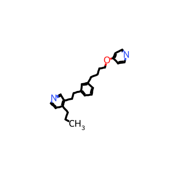 CCCc1ccncc1CCc1cccc(CCCCOc2ccncc2)c1